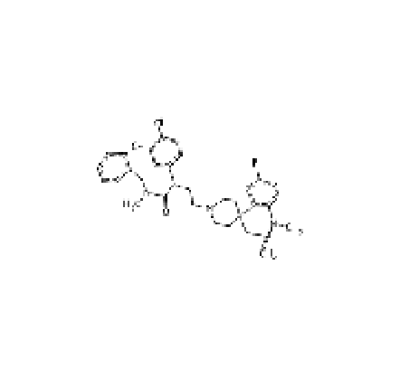 C=C1CC2(CCN(CCC(C(=O)N(C)Cc3ccccc3)c3ccc(Cl)c(Cl)c3)CC2)c2cc(F)ccc2N1C